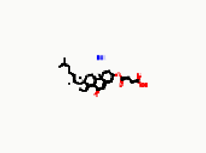 CC(C)CCC[C@@H](C)[C@H]1CCC2C3C(=O)C=C4CC(OC(=O)CCC(=O)O)CC[C@]4(C)C3CC[C@@]21C.N